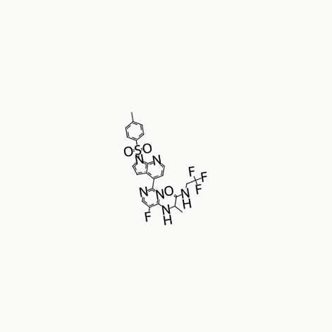 Cc1ccc(S(=O)(=O)n2ccc3c(-c4ncc(F)c(NC(C)C(=O)NCC(F)(F)F)n4)ccnc32)cc1